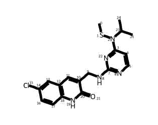 CSN(c1ccnc(NCc2cc3cc(Cl)ccc3[nH]c2=O)n1)C(C)C